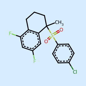 CC1(S(=O)(=O)c2ccc(Cl)cc2)CCCc2c(F)cc(F)cc21